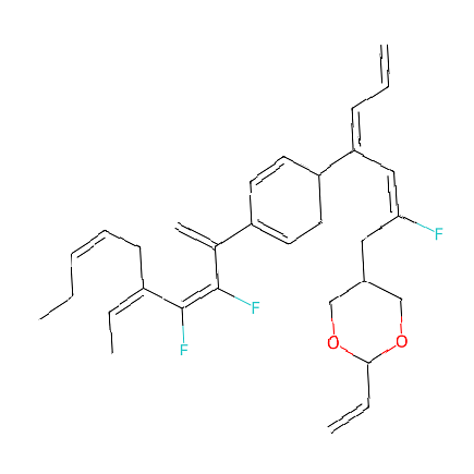 C=C/C=C(\C=C(\F)CC1COC(C=C)OC1)C1C=CC(C(=C)/C(F)=C(F)\C(=C/C)C/C=C\CC)=CC1